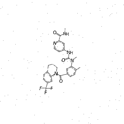 CNC(=O)c1cc(NC(=O)N(C)c2cc(C(=O)N3CCCc4ccc(C(F)(F)F)cc43)ccc2C)ccn1